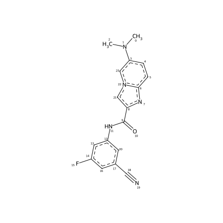 CN(C)c1ccc2nc(C(=O)Nc3cc(F)cc(C#N)c3)cn2c1